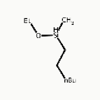 CCCCCC[SiH](C)OCC